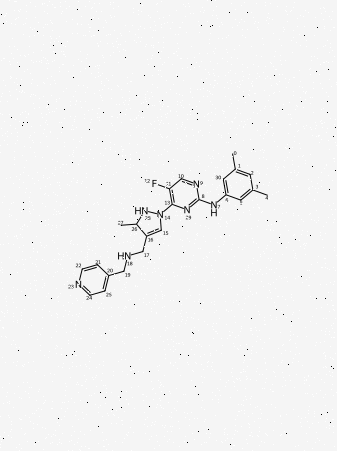 Cc1cc(C)cc(Nc2ncc(F)c(N3C=C(CNCc4ccncc4)C(C)N3)n2)c1